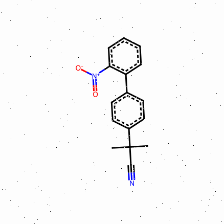 CC(C)(C#N)c1ccc(-c2ccccc2[N+](=O)[O-])cc1